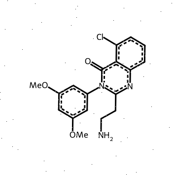 COc1cc(OC)cc(-n2c(CCN)nc3cccc(Cl)c3c2=O)c1